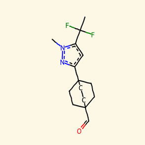 Cn1nc(C23CCC(C=O)(CC2)CC3)cc1C(C)(F)F